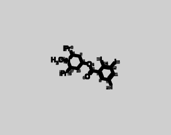 CC(C)C1CC(OC(=O)c2cc(I)cc(I)c2I)CC(C(C)C)N1C